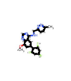 COc1cc(-c2c(F)cc(F)cc2F)cc2c(NCc3ccc(C)nn3)ncnc12